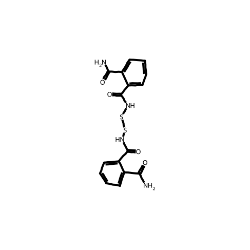 NC(=O)c1ccccc1C(=O)NSSNC(=O)c1ccccc1C(N)=O